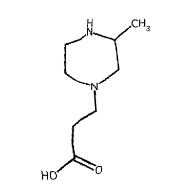 CC1CN(CCC(=O)O)CCN1